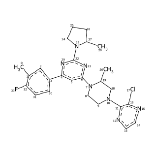 Cc1cc(-c2cc(N3CCN(c4nccnc4Cl)CC3C)nc(N3CCCC3C)n2)ccc1F